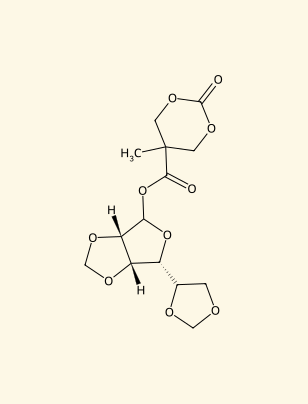 CC1(C(=O)OC2O[C@H](C3COCO3)[C@@H]3OCO[C@H]23)COC(=O)OC1